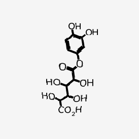 O=C(O)C(O)C(O)C(O)C(O)C(=O)Oc1ccc(O)c(O)c1